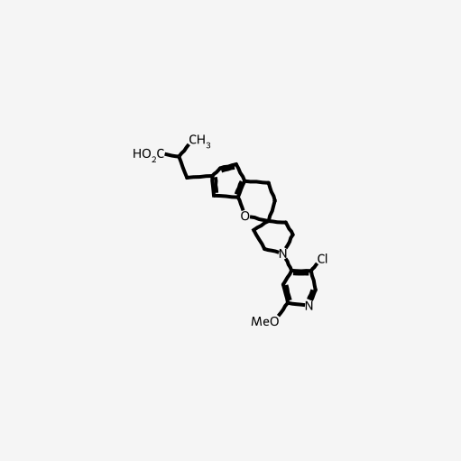 COc1cc(N2CCC3(CCc4ccc(CC(C)C(=O)O)cc4O3)CC2)c(Cl)cn1